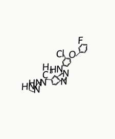 CC(=NNC1=NCCN1)c1ccc2ncnc(Nc3ccc(OCc4cccc(F)c4)c(Cl)c3)c2c1